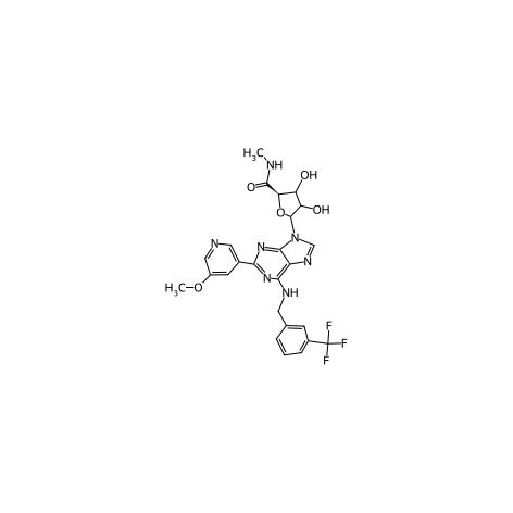 CNC(=O)[C@@H]1OC(n2cnc3c(NCc4cccc(C(F)(F)F)c4)nc(-c4cncc(OC)c4)nc32)C(O)C1O